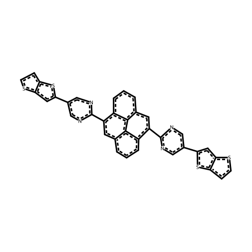 c1cc2cc(-c3ncc(-c4cc5sccc5s4)cn3)c3cccc4cc(-c5ncc(-c6cc7sccc7s6)cn5)c(c1)c2c43